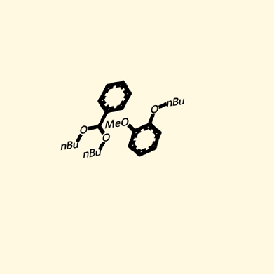 CCCCOC(OCCCC)c1ccccc1.CCCCOc1ccccc1OC